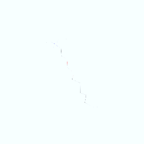 CCCCCCCCCCCCCOCOCC[N+](C)(C)C